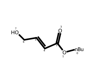 CCCCOC(=O)C=CCO